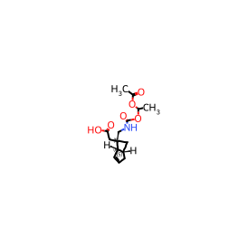 CC(=O)OC(C)OC(=O)NC[C@@]1(CC(=O)O)C[C@@H]2CC=C[C@@H]21